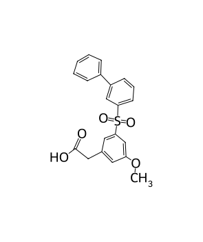 COc1cc(CC(=O)O)cc(S(=O)(=O)c2cccc(-c3ccccc3)c2)c1